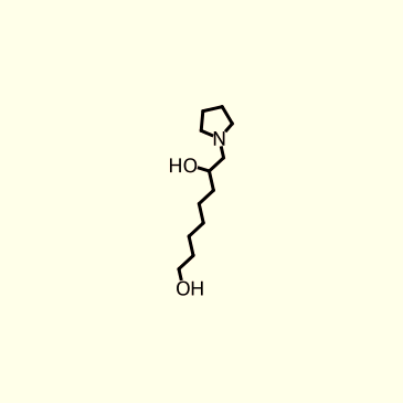 OCCCCCCC(O)CN1CCCC1